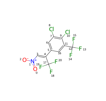 O=[N+]([O-])C=C(c1cc(Cl)c(Cl)c(C(F)(F)F)c1)C(F)(F)F